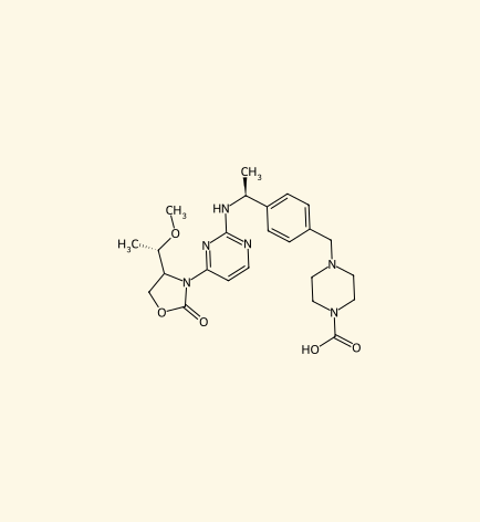 CO[C@@H](C)C1COC(=O)N1c1ccnc(N[C@@H](C)c2ccc(CN3CCN(C(=O)O)CC3)cc2)n1